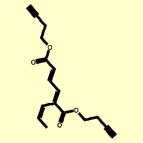 C#CCCOC(=O)/C=C/C=C(\C=C/C)C(=O)OCCC#C